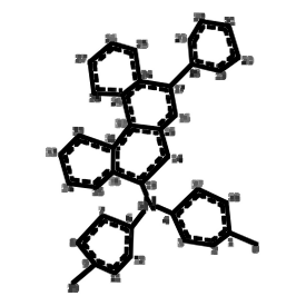 Cc1ccc(N(c2ccc(C)cc2)c2cc3cc(-c4ccccc4)c4ccccc4c3c3ccccc23)cc1